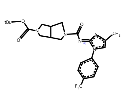 Cc1cn(-c2ccc(C(F)(F)F)cc2)/c(=N/C(=O)N2CC3CN(C(=O)OC(C)(C)C)CC3C2)s1